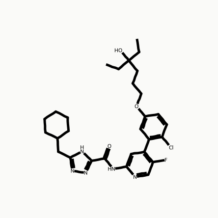 CCC(O)(CC)CCCOc1ccc(Cl)c(-c2cc(NC(=O)c3nnc(CC4CCCCC4)[nH]3)ncc2F)c1